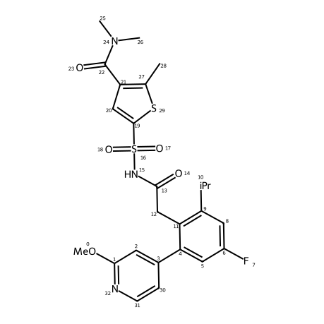 COc1cc(-c2cc(F)cc(C(C)C)c2CC(=O)NS(=O)(=O)c2cc(C(=O)N(C)C)c(C)s2)ccn1